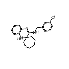 Clc1cccc(CNC2=Nc3ccccc3NC23CCCCOC3)c1